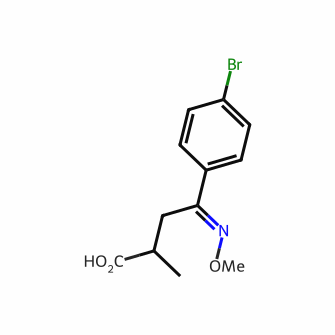 CON=C(CC(C)C(=O)O)c1ccc(Br)cc1